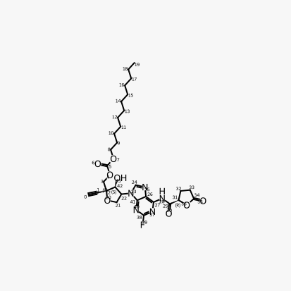 C#C[C@]1(COC(=O)OCCCCCCCCCCCC)OCC(n2cnc3c(NC(=O)[C@H]4CCC(=O)O4)nc(F)nc32)[C@@H]1O